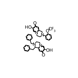 O=c1cc2n(cc1O)CCN(Cc1ccccc1)C2Cc1ccccc1.O=c1cc2n(cc1O)CCN(c1ccccc1OC(F)(F)F)C2